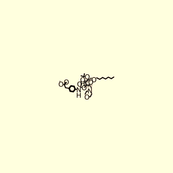 CCCCCCCOC[C@@]12O[C@@H](CN3CCOCC3)[C@@H](OC(=O)Nc3ccc(CC(=O)OC)cc3)[C@@H]1OC(C)(C)O2